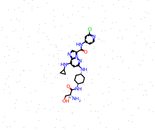 N[C@H](CO)C(=O)N[C@H]1CC[C@H](Nc2cc(NC3CC3)c3ncc(C(=O)Nc4ccnc(Cl)c4)n3n2)CC1